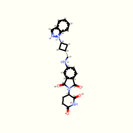 O=C1CCC(N2C(=O)c3ccc(NC[C@H]4C[C@H](n5ncc6ccccc65)C4)cc3C2=O)C(=O)N1